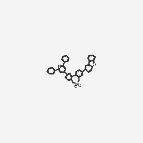 O=S1(=O)Cc2cc(-c3ccc4oc5ccccc5c4c3)ccc2-c2cc(-c3cc(-c4ccccc4)nc(-c4ccccc4)c3)ccc2C1